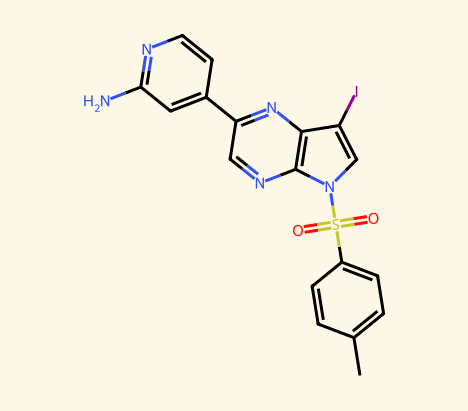 Cc1ccc(S(=O)(=O)n2cc(I)c3nc(-c4ccnc(N)c4)cnc32)cc1